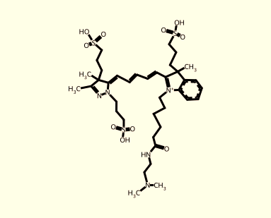 CC1=NN(CCCS(=O)(=O)O)\C(=C/C=C/C=C/C2=[N+](CCCCCC(=O)NCCN(C)C)c3ccccc3C2(C)CCCS(=O)(=O)O)C1(C)CCCS(=O)(=O)O